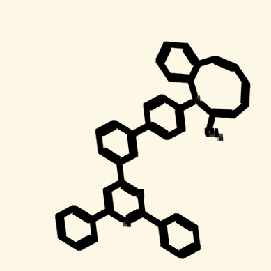 Cc1cccccc2ccccc2n1-c1ccc(-c2cccc(-c3cc(-c4ccccc4)nc(-c4ccccc4)n3)c2)cc1